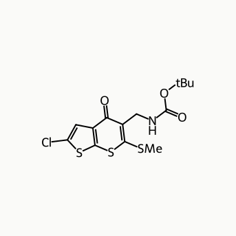 CSc1sc2sc(Cl)cc2c(=O)c1CNC(=O)OC(C)(C)C